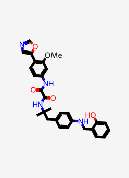 COc1cc(NC(=O)C(=O)NC(C)(C)Cc2ccc(NCc3ccccc3O)cc2)ccc1-c1cnco1